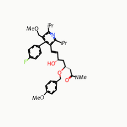 CNC(=O)C[C@@H](C[C@H](O)/C=C/c1c(C(C)C)nc(C(C)C)c(COC)c1-c1ccc(F)cc1)OCc1ccc(OC)cc1